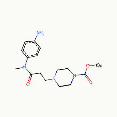 CN(C(=O)CCN1CCN(C(=O)OC(C)(C)C)CC1)c1ccc(N)cc1